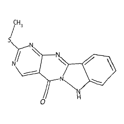 CSc1ncc2c(=O)n3[nH]c4ccccc4c3nc2n1